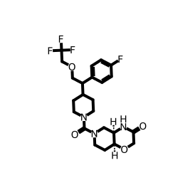 O=C1CO[C@H]2CCN(C(=O)N3CCC(C(COCC(F)(F)F)c4ccc(F)cc4)CC3)C[C@H]2N1